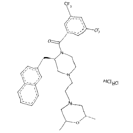 CC1CN(CCN2CCN(C(=O)c3cc(C(F)(F)F)cc(C(F)(F)F)c3)[C@H](Cc3ccc4ccccc4c3)C2)CC(C)O1.Cl.Cl